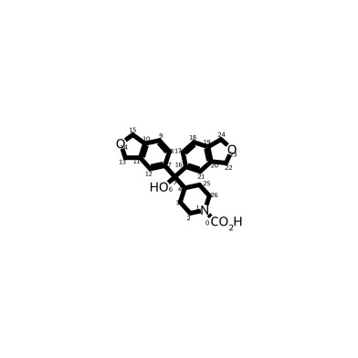 O=C(O)N1CCC(C(O)(c2ccc3c(c2)COC3)c2ccc3c(c2)COC3)CC1